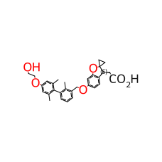 Cc1cc(OCCO)cc(C)c1-c1cccc(COc2ccc3c(c2)OC2(CC2)[C@H]3CC(=O)O)c1C